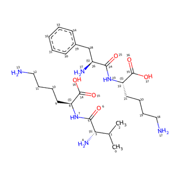 CC(C)[C@H](N)C(=O)N[C@@H](CCCCN)C(=O)O.NCCCC[C@H](NC(=O)[C@@H](N)Cc1ccccc1)C(=O)O